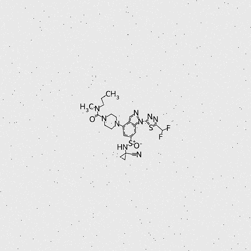 CCCN(C)C(=O)N1CCN(c2cc([S+]([O-])NC3(C#N)CC3)cc3c2cnn3-c2nnc(C(F)F)s2)CC1